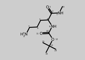 CNC(=O)C(CCCN)NC(=O)OC(C)(C)C